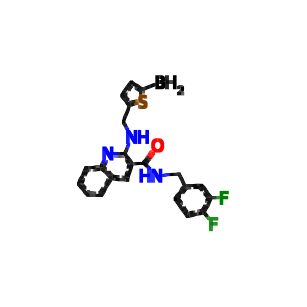 Bc1ccc(CNc2nc3ccccc3cc2C(=O)NCc2ccc(F)c(F)c2)s1